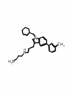 Cc1cccc(-c2ccc3c(c2)c(CCCNCCCN)cn3CC2CCCCC2)c1